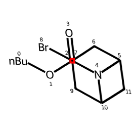 CCCCOC(=O)N1C2CC(Br)CC1C2